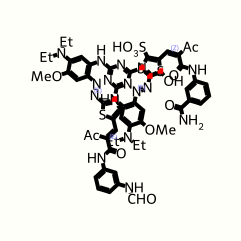 CCN(CC)c1cc(Nc2nc(Nc3cc(N(CC)CC)c(OC)cc3/N=N/c3nc(S(=O)(=O)O)c(/C=C(/C(C)=O)C(=O)Nc4cccc(C(N)=O)c4)s3)nc(SCCO)n2)c(/N=N/c2ncc(/C=C(\C(C)=O)C(=O)Nc3cccc(NC=O)c3)s2)cc1OC